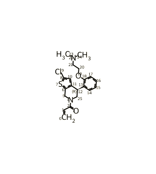 C=CC(=O)N1Cc2sc(Cl)cc2[C@@H](c2ccccc2OCCN(C)C)C1